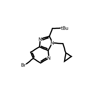 CC(C)(C)Cc1nc2cc(Br)cnc2n1CC1CC1